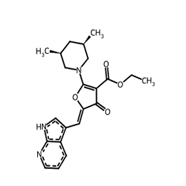 CCOC(=O)C1=C(N2C[C@H](C)C[C@H](C)C2)O/C(=C\c2c[nH]c3ncccc23)C1=O